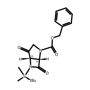 CC(C)(C)[Si](C)(C)N1C(=O)[C@@H]2[C@H]1C(=O)CN2C(=O)OCc1ccccc1